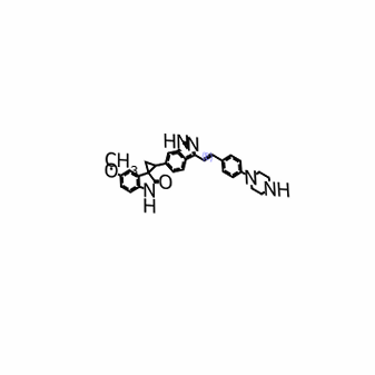 COc1ccc2c(c1)C1(CC1c1ccc3c(/C=C/c4ccc(N5CCNCC5)cc4)n[nH]c3c1)C(=O)N2